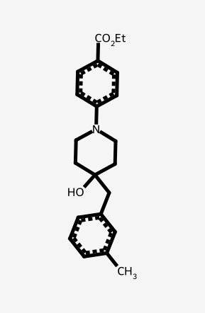 CCOC(=O)c1ccc(N2CCC(O)(Cc3cccc(C)c3)CC2)cc1